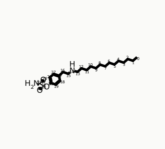 CCCCCCCCCCCCCCNCCc1ccc(OS(N)(=O)=O)cc1